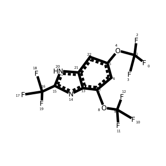 FC(F)(F)Oc1cc(OC(F)(F)F)c2nc(C(F)(F)F)[nH]c2c1